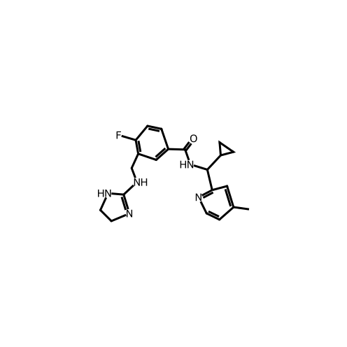 Cc1ccnc(C(NC(=O)c2ccc(F)c(CNC3=NCCN3)c2)C2CC2)c1